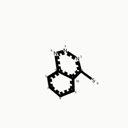 [S]c1nnnc2ccccc12